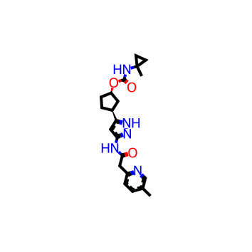 Cc1ccc(CC(=O)Nc2cc([C@H]3CC[C@@H](OC(=O)NC4(C)CC4)C3)[nH]n2)nc1